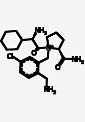 NCc1ccc(Cl)cc1C[N+]1(C(=O)[C@H](N)C2CCCCC2)CCC[C@H]1C(N)=O